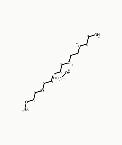 CCC(C)OCCOCCOCCOCCOCCO.O=S(=O)(O)O